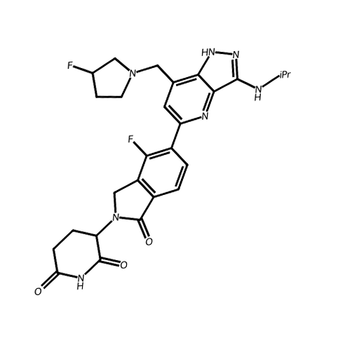 CC(C)Nc1n[nH]c2c(CN3CCC(F)C3)cc(-c3ccc4c(c3F)CN(C3CCC(=O)NC3=O)C4=O)nc12